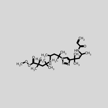 C=CC(=O)NC(C)CC(C)(C)c1cn(C(C)(C)CC(C)NC(C)(C)CC(C)(C)C(=O)OOC)nn1